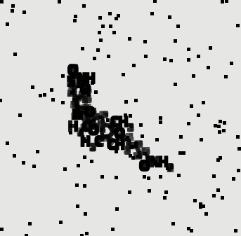 Cc1c(C)c2c(c(C)c1OCCCCCCC(N)=O)CCC(C)(COc1ccc(C=C3SC(=O)NC3=O)cc1Br)O2